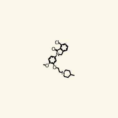 COc1ccc(N2Cc3cccc(Cl)c3C2=O)cc1OCCN1CCC(C)CC1